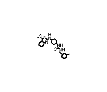 Cc1cccc(CNC(=S)NC2CCC(Nc3nc(N(C)C)c4ccccc4n3)CC2)c1